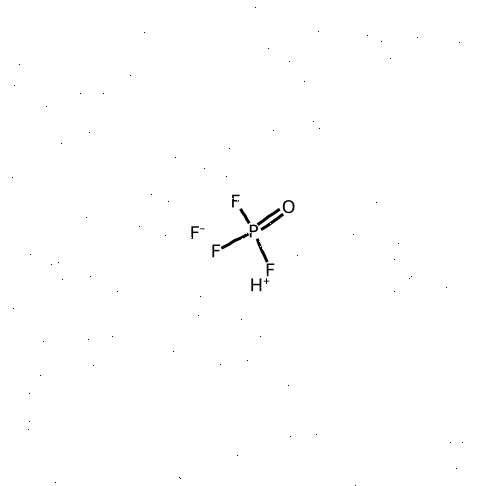 O=P(F)(F)F.[F-].[H+]